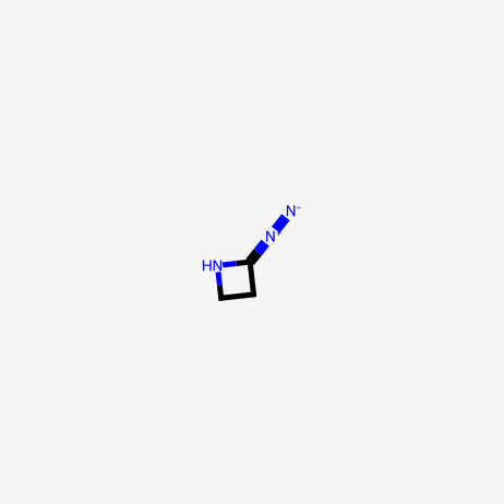 [N-]=[N+]=C1CCN1